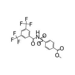 COC(=O)c1ccc(S(=O)(=O)NC(=O)c2cc(C(F)(F)F)cc(C(F)(F)F)c2)cc1